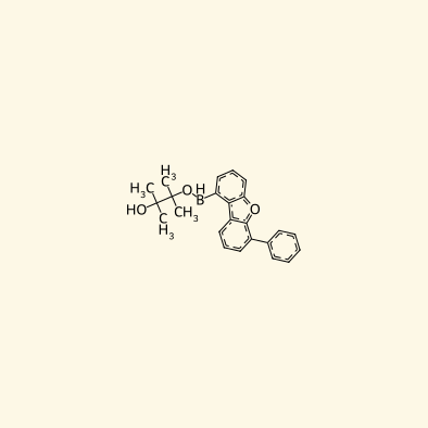 CC(C)(O)C(C)(C)OBc1cccc2oc3c(-c4ccccc4)cccc3c12